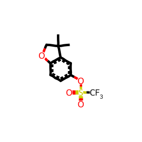 CC1(C)COc2ccc(OS(=O)(=O)C(F)(F)F)cc21